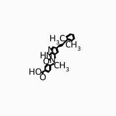 CC(c1ccc(C(=O)O)cc1)N1Cc2cc(C#CC(C)(C)c3ccccc3)cnc2NC1=O